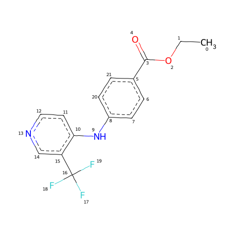 CCOC(=O)c1ccc(Nc2ccncc2C(F)(F)F)cc1